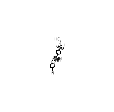 N#Cc1ccc(CN2N=C(c3ccc(S(=O)(=O)NCCO)cc3)NN2)nc1